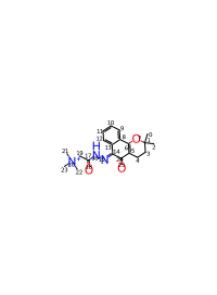 CC1(C)CCC2=C(O1)c1ccccc1/C(=N\NC(=O)C[N+](C)(C)C)C2=O